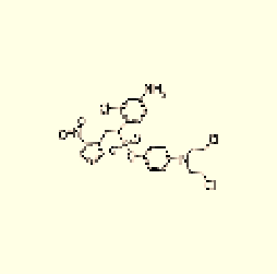 Nc1ccc(C(Cc2ccsc2[N+](=O)[O-])S(=O)(=O)Oc2ccc(N(CCCl)CCCl)cc2)c(Cl)c1